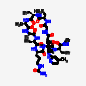 CC[C@H](NC(=O)[C@H](C)NC(=O)[C@H](CC(C)C)NC(=O)[C@H](CC(=O)O)NC(=O)CNC(=O)CCCCNc1cc(C)ccn1)C(=O)N[C@@H](CC(C)C)C(=O)N[C@@H](CCCNC(N)=O)C(=O)NC(C)(C)C(=O)N[C@@H](CC(C)C)C(=O)NC(C)C